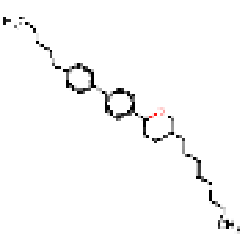 CCCCCCCCC1CCC(c2ccc(-c3ccc(CCCCC)cc3)cc2)OC1